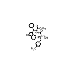 COC(=O)[C@@H](NC(=O)[C@H](CS)NCc1ccc(C)cc1)C(c1ccccc1)c1c[nH]c2ccccc12